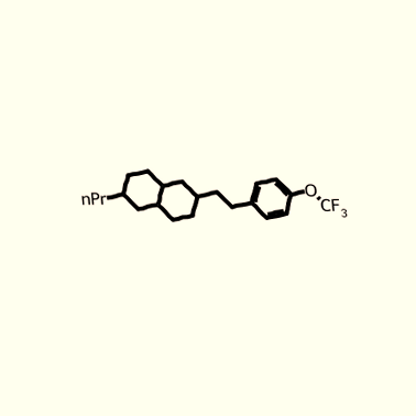 CCCC1CCC2CC(CCc3ccc(OC(F)(F)F)cc3)CCC2C1